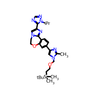 Cc1nc(-c2ccc3c(c2)OCCn2cc(-c4ncnn4C(C)C)nc2-3)cn1COCC[Si](C)(C)C(C)(C)C